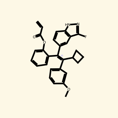 C=CC(=O)Oc1ccccc1/C(=C(\c1cccc(OC)c1)C1CCC1)c1ccc2[nH]nc(F)c2c1